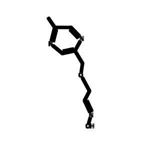 Cc1cnc(COCC=NO)cn1